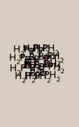 PB(P)B(B(P)P)B(B(B(P(P)P)P(P)P)B(P(P)P)P(P)P)B(P(P)P)P(P)P